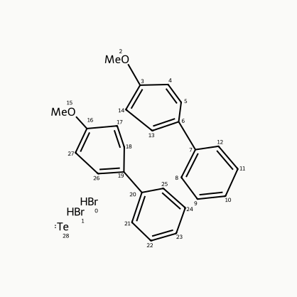 Br.Br.COc1ccc(-c2ccccc2)cc1.COc1ccc(-c2ccccc2)cc1.[Te]